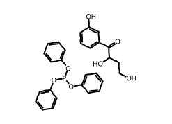 O=C(c1cccc(O)c1)C(O)CCO.c1ccc(OP(Oc2ccccc2)Oc2ccccc2)cc1